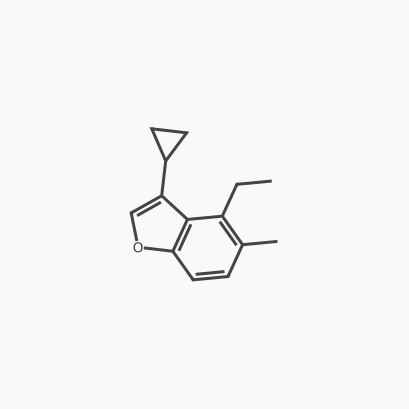 CCc1c(C)ccc2occ(C3CC3)c12